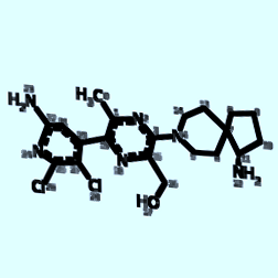 Cc1nc(N2CCC3(CCC[C@H]3N)CC2)c(CO)nc1-c1cc(N)nc(Cl)c1Cl